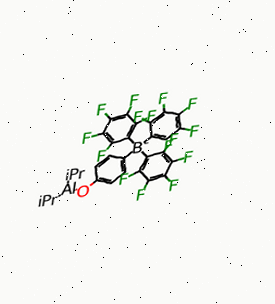 C[CH](C)[Al]([O]c1ccc([B-](c2c(F)c(F)c(F)c(F)c2F)(c2c(F)c(F)c(F)c(F)c2F)c2c(F)c(F)c(F)c(F)c2F)cc1)[CH](C)C